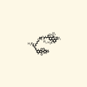 C=C/C(=C\C=C(/C)O[C@H]1C[C@H](OCCCCCN(CCC)CCCc2ccc3c(c2)C(=O)N(C2CCC(=O)NC2=O)C3=O)C1)c1ccc(-c2cc(C=C)ccc2C)c(C(C)C)c1